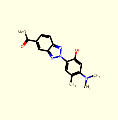 COC(=O)c1ccc2nn(-c3cc(C)c(N(C)C)cc3O)nc2c1